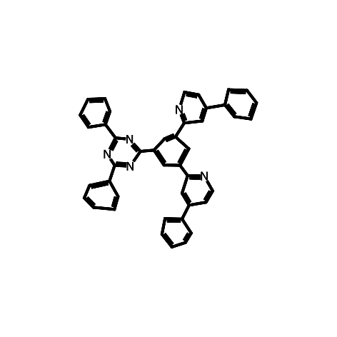 c1ccc(-c2ccnc(-c3cc(-c4cc(-c5ccccc5)ccn4)cc(-c4nc(-c5ccccc5)nc(-c5ccccc5)n4)c3)c2)cc1